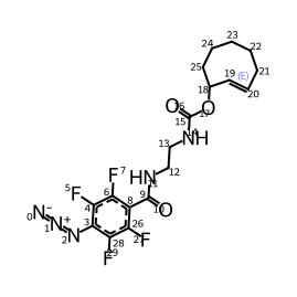 [N-]=[N+]=Nc1c(F)c(F)c(C(=O)NCCNC(=O)OC2/C=C/CCCCC2)c(F)c1F